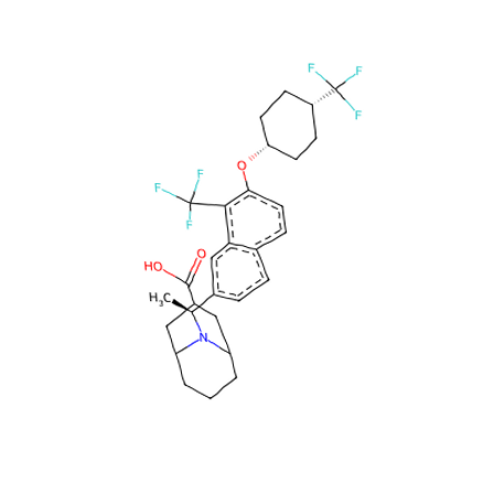 C[C@@H](c1ccc2ccc(O[C@H]3CC[C@@H](C(F)(F)F)CC3)c(C(F)(F)F)c2c1)N1C2CCCC1CC(C(=O)O)C2